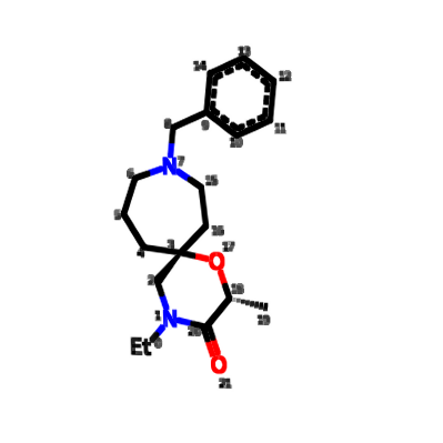 CCN1C[C@]2(CCCN(Cc3ccccc3)CC2)O[C@H](C)C1=O